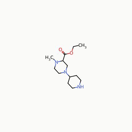 CCOC(=O)C1CN(C2CCNCC2)CCN1C